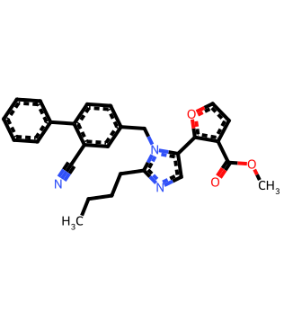 CCCCc1ncc(-c2occc2C(=O)OC)n1Cc1ccc(-c2ccccc2)c(C#N)c1